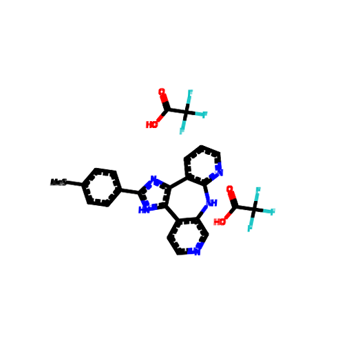 CSc1ccc(-c2nc3c([nH]2)-c2ccncc2Nc2ncccc2-3)cc1.O=C(O)C(F)(F)F.O=C(O)C(F)(F)F